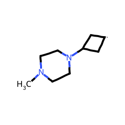 CN1CCN(C2C[CH]C2)CC1